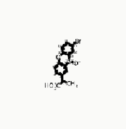 CC(C(=O)O)c1ccc2c(c1)[S+]([O-])c1cc(Br)ccc1O2